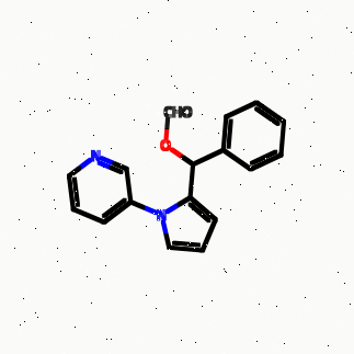 O=COC(c1ccccc1)c1cccn1-c1cccnc1